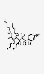 CCCCOCC(C)[C@@H](OCCCC)[C@H](OCCCC)C(OCCCC)[C@H](OC)[C@@H](O)c1ccc(Br)cc1C